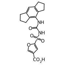 O=C(Nc1c2c(cc3c1CCC3)CCC2)NS(=O)(=O)c1cc(C(=O)O)co1